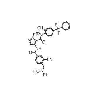 CCN(C)Cc1ccc(C(=O)Nc2cnn3c2C(=O)N(c2ccc(C(F)(F)c4ccccc4)cc2)[C@@H](C)C3)cc1C#N